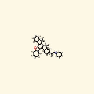 C=C(/C=C1/C=CC=CC1)c1ccc2c(c1)C(C)(C)c1c3c(c4oc5c(c4c1-2)=CCC=CC=5)-c1ccccc1C3(C)C